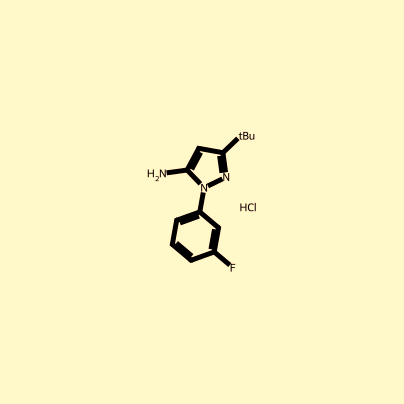 CC(C)(C)c1cc(N)n(-c2cccc(F)c2)n1.Cl